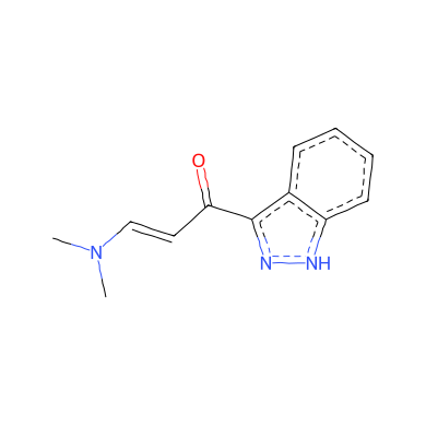 CN(C)/C=C/C(=O)c1n[nH]c2ccccc12